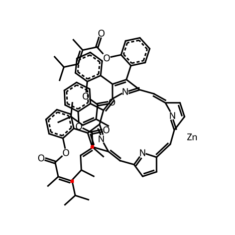 CC(=CC(C)C)C(=O)Oc1ccccc1C1=CC2=CC3=NC(=CC4=NC(=CC5=NC(=C(c6ccccc6OC(=O)C(C)=CC(C)C)C1=N2)C(c1ccccc1OC(=O)C(C)=CC(C)C)=C5c1ccccc1OC(=O)C(C)=CC(C)C)C=C4)C=C3.[Zn]